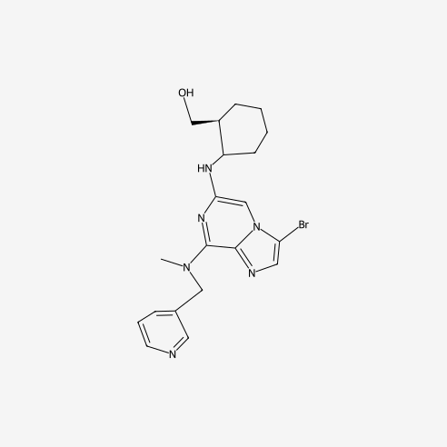 CN(Cc1cccnc1)c1nc(NC2CCCC[C@@H]2CO)cn2c(Br)cnc12